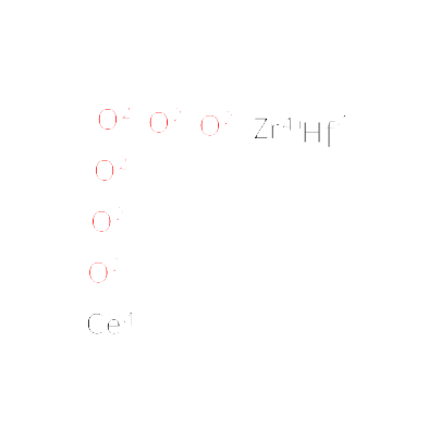 [Ce+4].[Hf+4].[O-2].[O-2].[O-2].[O-2].[O-2].[O-2].[Zr+4]